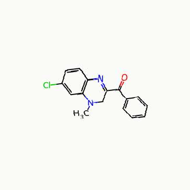 CN1CC(C(=O)c2ccccc2)=Nc2ccc(Cl)cc21